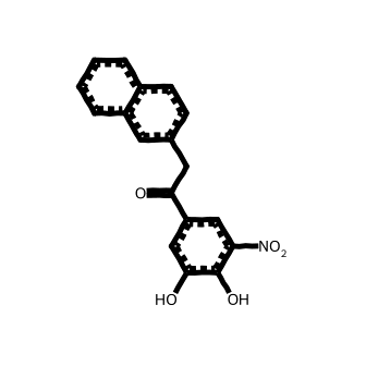 O=C(Cc1ccc2ccccc2c1)c1cc(O)c(O)c([N+](=O)[O-])c1